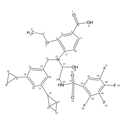 CCOc1cc(C(=O)O)ccc1N(Cc1cc(C2CC2)cc(C2C3CC32)c1)C(O)CNS(=O)(=O)c1cc(F)c(F)c(F)c1F